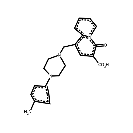 Nc1ccc(N2CCN(Cc3cc(C(=O)O)c(=O)n4ccccc34)CC2)cc1